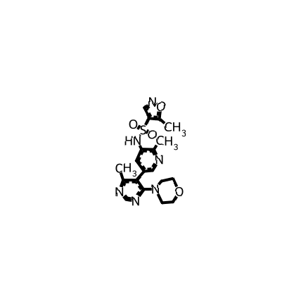 Cc1ncc(-c2c(C)ncnc2N2CCOCC2)cc1NS(=O)(=O)c1cnoc1C